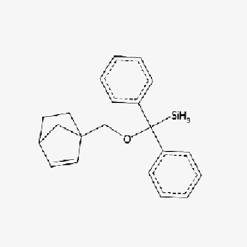 [SiH3]C(OCC12C=CC(CC1)C2)(c1ccccc1)c1ccccc1